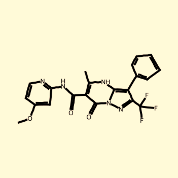 COc1ccnc(NC(=O)c2c(C)[nH]c3c(-c4ccccc4)c(C(F)(F)F)nn3c2=O)c1